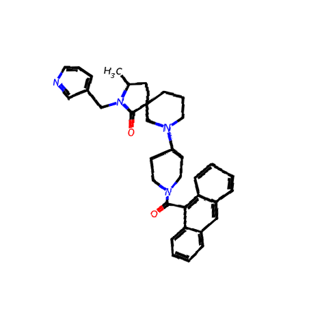 CC1CC2(CCCN(C3CCN(C(=O)c4c5ccccc5cc5ccccc45)CC3)C2)C(=O)N1Cc1cccnc1